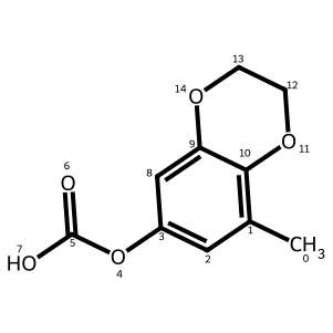 Cc1cc(OC(=O)O)cc2c1OCCO2